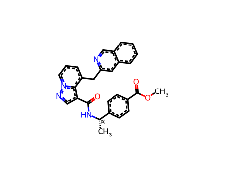 COC(=O)c1ccc([C@H](C)NC(=O)c2cnn3cccc(Cc4cc5ccccc5cn4)c23)cc1